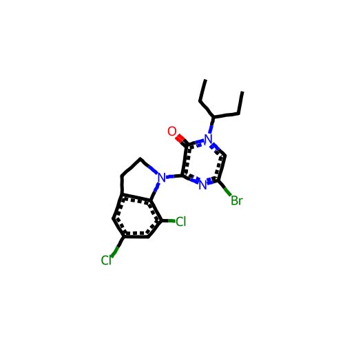 CCC(CC)n1cc(Br)nc(N2CCc3cc(Cl)cc(Cl)c32)c1=O